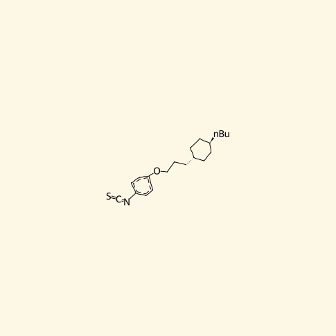 CCCC[C@H]1CC[C@H](CCCOc2ccc(N=C=S)cc2)CC1